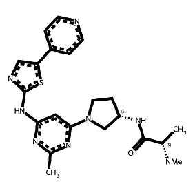 CN[C@@H](C)C(=O)N[C@H]1CCN(c2cc(Nc3ncc(-c4ccncc4)s3)nc(C)n2)C1